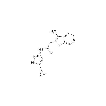 Cc1c(CC(=O)Nc2cc(C3CC3)[nH]n2)sc2ccccc12